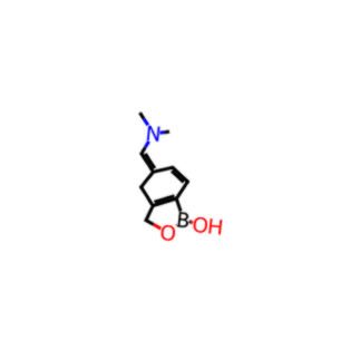 CN(C)C=C1C=CC2=C(COB2O)C1